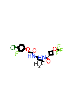 C=C(CCNC(=O)COc1ccc(Cl)c(F)c1)NC(=O)[C@H]1C[C@@H](OC(F)(F)F)C1